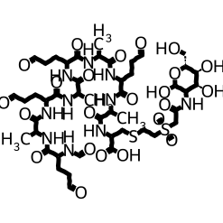 CC(NC(=O)C(CCC=O)NC=O)C(=O)NC(CCC=O)C(=O)NC(C)C(=O)NC(CCC=O)C(=O)NC(C)C(=O)NC(CCC=O)C(=O)NC(C)C(=O)NC(CSCCS(=O)(=O)CC(=O)NC1C(O)O[C@H](CO)[C@H](O)[C@@H]1O)C(=O)O